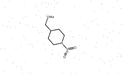 COCC1CCN([SH](=O)=O)CC1